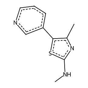 CNc1nc(C)c(-c2cccnc2)s1